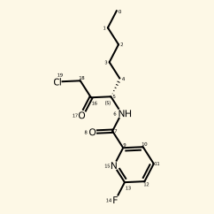 CCCCC[C@H](NC(=O)c1cccc(F)n1)C(=O)CCl